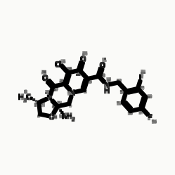 C[C@H]1CO[C@]2(N)Cn3cc(C(=O)NCc4ccc(F)cc4F)c(=O)c(Cl)c3C(=O)N12